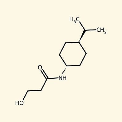 CC(C)[C@H]1CC[C@H](NC(=O)CCO)CC1